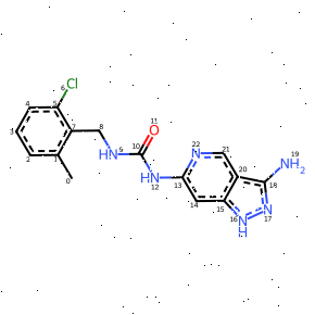 Cc1cccc(Cl)c1CNC(=O)Nc1cc2[nH]nc(N)c2cn1